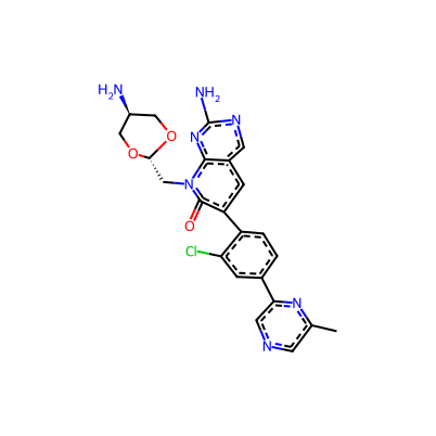 Cc1cncc(-c2ccc(-c3cc4cnc(N)nc4n(C[C@H]4OC[C@H](N)CO4)c3=O)c(Cl)c2)n1